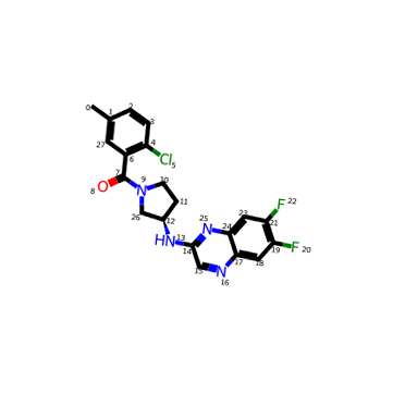 Cc1ccc(Cl)c(C(=O)N2CC[C@@H](Nc3cnc4cc(F)c(F)cc4n3)C2)c1